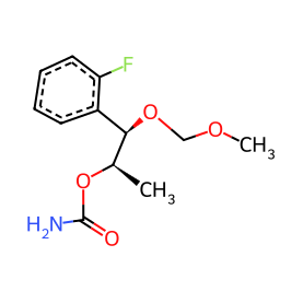 COCO[C@H](c1ccccc1F)[C@@H](C)OC(N)=O